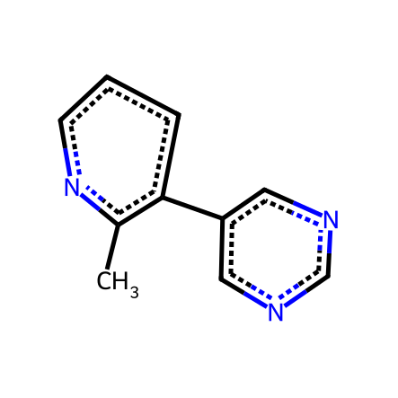 Cc1ncccc1-c1cncnc1